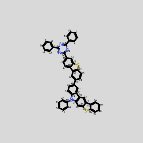 c1ccc(-c2nc(-c3ccccc3)nc(-c3ccc4c(c3)sc3ccc(-c5ccc6c(c5)c5cc7c(cc5n6-c5ccccc5)sc5ccccc57)cc34)n2)cc1